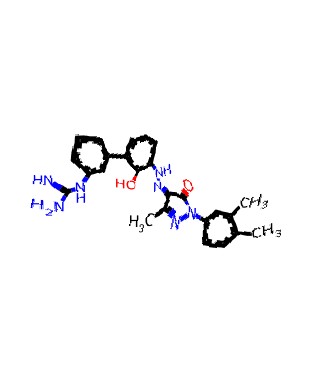 CC1=NN(c2ccc(C)c(C)c2)C(=O)/C1=N\Nc1cccc(-c2cccc(NC(=N)N)c2)c1O